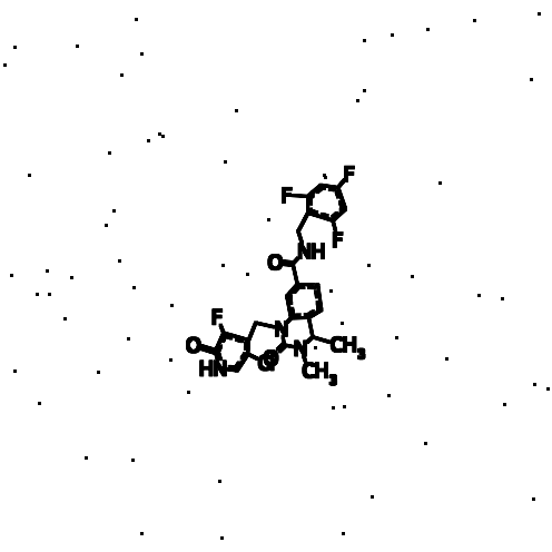 CC1c2ccc(C(=O)NCc3c(F)cc(F)cc3F)cc2N(Cc2c(Cl)c[nH]c(=O)c2F)C(=O)N1C